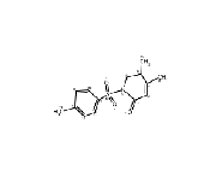 CC1=CC(=O)N(S(=O)(=O)c2ccc(C)cc2)CC1C